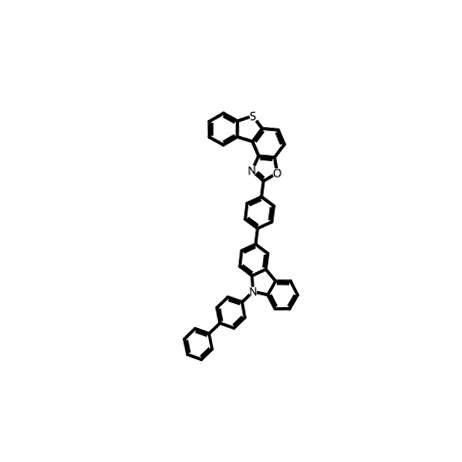 c1ccc(-c2ccc(-n3c4ccccc4c4cc(-c5ccc(-c6nc7c(ccc8sc9ccccc9c87)o6)cc5)ccc43)cc2)cc1